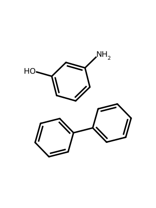 Nc1cccc(O)c1.c1ccc(-c2ccccc2)cc1